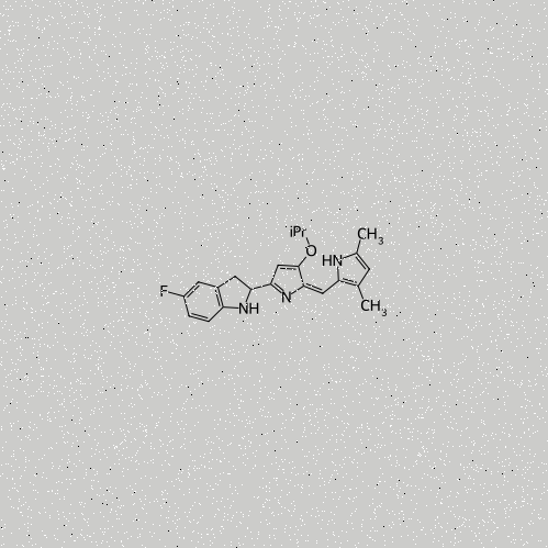 Cc1cc(C)c(/C=C2/N=C(C3Cc4cc(F)ccc4N3)C=C2OC(C)C)[nH]1